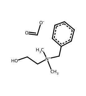 C[N+](C)(CCO)Cc1ccccc1.O=C[O-]